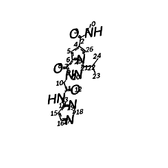 CNC(=O)c1cc2c(=O)n(CC(=O)Nc3ccncn3)nc(C(C)C)n2c1